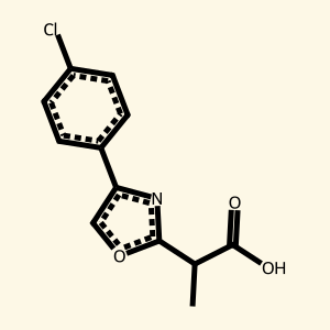 CC(C(=O)O)c1nc(-c2ccc(Cl)cc2)co1